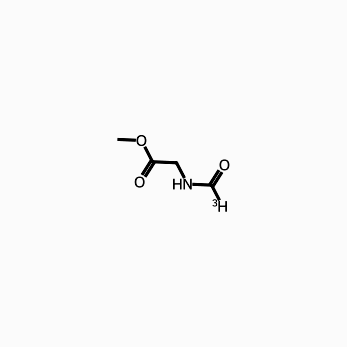 [3H]C(=O)NCC(=O)OC